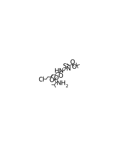 CC(C)C(N)C(=O)OC(/C=C/CCCl)CC(=O)NCc1nc(C(=O)OC(C)(C)C)cs1